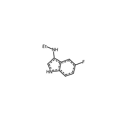 CCNc1c[nH]c2ccc(F)cc12